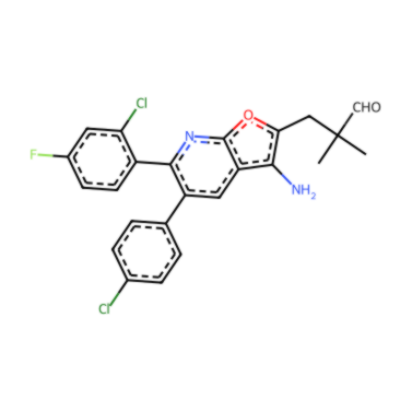 CC(C)(C=O)Cc1oc2nc(-c3ccc(F)cc3Cl)c(-c3ccc(Cl)cc3)cc2c1N